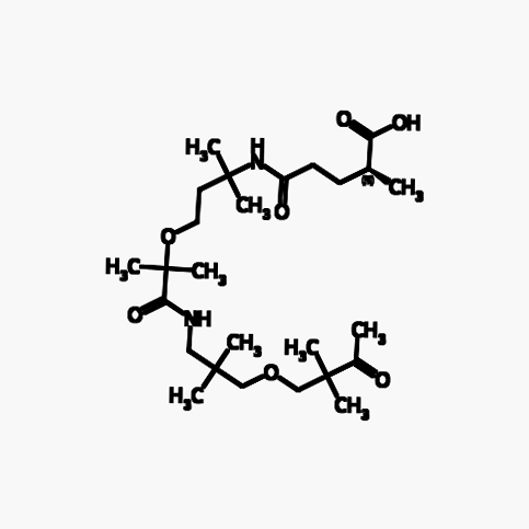 CC(=O)C(C)(C)COCC(C)(C)CNC(=O)C(C)(C)OCCC(C)(C)NC(=O)CC[C@H](C)C(=O)O